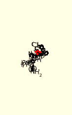 Cc1sc(C(=O)c2cncnc2N[C@@H]2C[C@H](COS(N)(=O)=O)[C@@H](O[Si](C(C)C)(C(C)C)C(C)C)C2)cc1[C@H]1c2cc(Cl)ccc2CCN1P(=O)(c1ccccc1)c1ccccc1